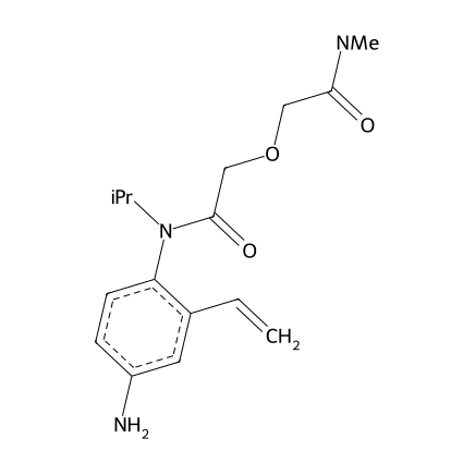 C=Cc1cc(N)ccc1N(C(=O)COCC(=O)NC)C(C)C